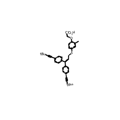 Cc1cc(SCC=C(c2ccc(C#CC(C)(C)C)cc2)c2ccc(C#CC(C)(C)C)cc2)ccc1OCC(=O)O